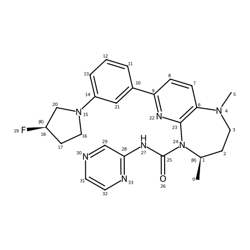 C[C@@H]1CCN(C)c2ccc(-c3cccc(N4CC[C@@H](F)C4)c3)nc2N1C(=O)Nc1cnccn1